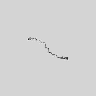 CCCC=CCCCCCCCCCCCCCCCCCCC